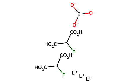 O=C(O)C(F)C(=O)O.O=C(O)C(F)C(=O)O.[Li+].[Li+].[Li+].[O-]B([O-])[O-]